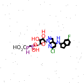 O=C(O)PCP(O)OC[C@H]1O[C@@H](n2ncc3c(N[C@@H]4CCc5ccc(F)cc54)cc(Cl)nc32)[C@H](O)[C@@H]1O